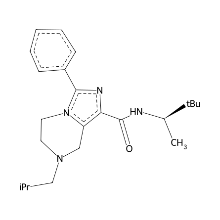 CC(C)CN1CCn2c(-c3ccccc3)nc(C(=O)N[C@H](C)C(C)(C)C)c2C1